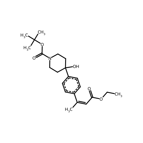 CCOC(=O)/C=C(/C)c1ccc(C2(O)CCN(C(=O)OC(C)(C)C)CC2)cc1